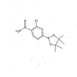 CCc1cc(B2OC(C)(C)C(C)(C)O2)ccc1C(N)=O